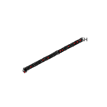 CCCOS(=S)(=S)SSSSSSSSSSSSSSSSSSSSSSSSSSSSSSSSSSSSSSSSSSSSSSSSSSSSSSSSSSSSSSSSSSSSSSSSSSSSSSSS